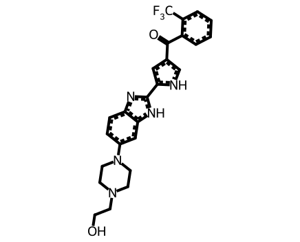 O=C(c1c[nH]c(-c2nc3ccc(N4CCN(CCO)CC4)cc3[nH]2)c1)c1ccccc1C(F)(F)F